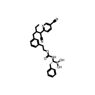 CCC(Cc1cccc(CCOC(=O)N[C@@H](Cc2ccccc2)B(O)O)c1)C(C#N)c1ccc(C#N)cn1